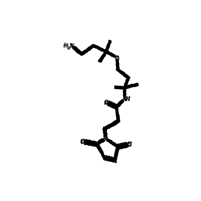 CC(C)(CCOC(C)(C)CCN)NC(=O)CCN1C(=O)C=CC1=O